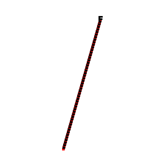 CC#CC#CC#CC#CC#CC#CC#CC#CC#CC#CC#CC#CC#CC#CC#CC#CC#CC#CC#CC#CC#CC#CC#CC#CC#CC#CC#CC#CC#CC#CC#CC#CC#CC#CC#CC#CC#CC#CC#CC#CC#CC#CC#CC#CC#CC#CC#CC#CC#CC#CF